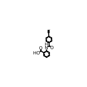 [C]#Cc1ccc(C(=O)Nc2ccccc2C(=O)O)cc1